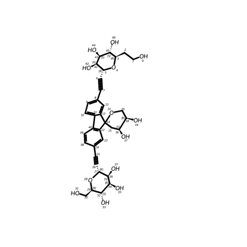 OCC[C@H]1O[C@H](C#Cc2ccc3c(c2)C2(C[C@H](O)[C@H](O)CO2)c2cc(C#C[C@H]4O[C@H](CO)[C@@H](O)[C@H](O)[C@@H]4O)ccc2-3)[C@@H](O)[C@@H](O)[C@@H]1O